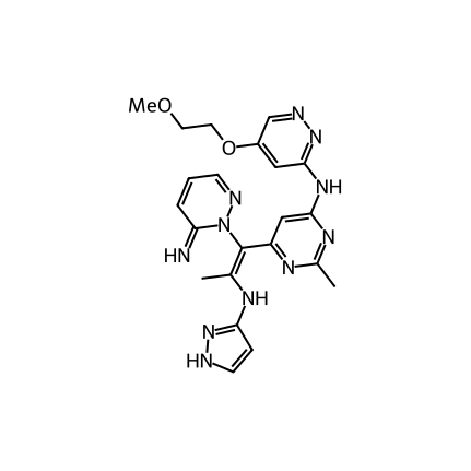 COCCOc1cnnc(Nc2cc(/C(=C(/C)Nc3cc[nH]n3)n3ncccc3=N)nc(C)n2)c1